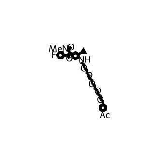 CNC(=O)c1c(-c2ccc(F)cc2)oc2cc(NCCOCCOCCOCCOCCOCc3ccc(C(C)=O)cc3)c(C3CC3)cc12